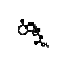 CC(=O)OC1=NNC(C2CCCCC(=O)N2C)C1